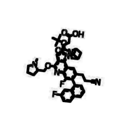 CN1CCCC1COc1nc2c(F)c(-c3cccc4ccc(F)cc34)c(CCC#N)cc2c2c1cc(CCC(=O)O)n2C1C2CC1N(C(=O)OC(C)(C)C)C2